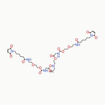 CC(=O)CN(CCOC(=O)CNC(=O)OCCOCCNC(=O)CCCCCN1C(=O)C=CC1=O)OC(=O)CNC(=O)OCCOCCNC(=O)CCCCCN1C(=O)C=CC1=O